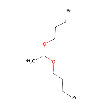 [CH2]C(OCCCC(C)C)OCCCC(C)C